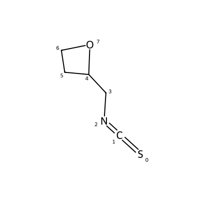 S=C=NCC1CCO1